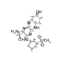 CS(=O)(=O)c1cccc(Nc2nc(N[C@H]3CC[C@H](O)CC3)c(Br)nc2C(N)=O)c1